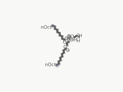 [2H]NCCOP(=O)(O)OCC(COC(=O)CCCCCCC/C=C\CCCCCCCC)OC(=O)CCCCCCC/C=C\CCCCCCCC